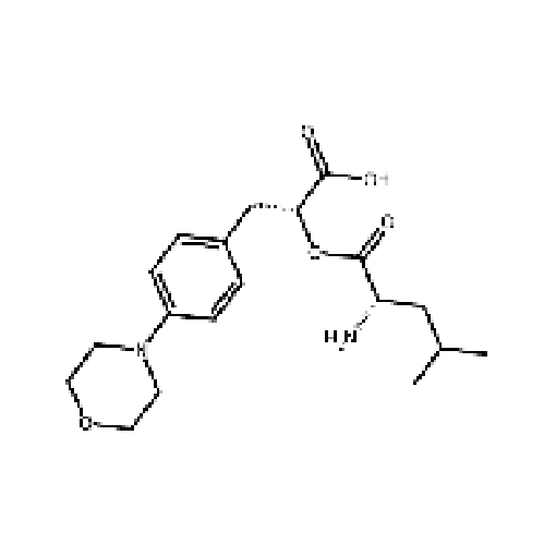 CC(C)C[C@H](N)C(=O)O[C@H](Cc1ccc(N2CCOCC2)cc1)C(=O)O